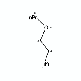 CCCO[CH]CC(C)C